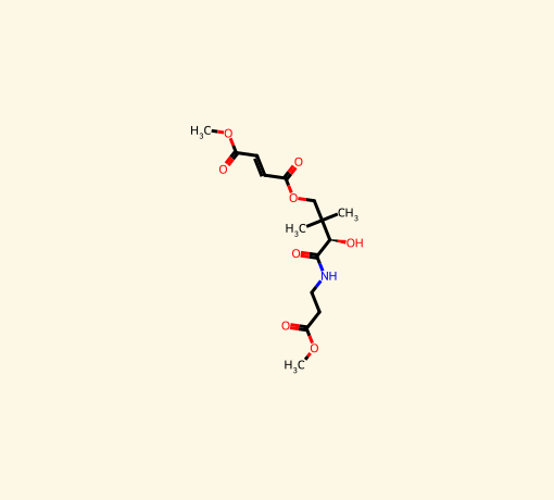 COC(=O)/C=C/C(=O)OCC(C)(C)[C@@H](O)C(=O)NCCC(=O)OC